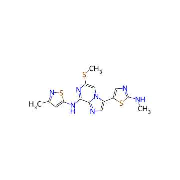 CNc1ncc(-c2cnc3c(Nc4cc(C)ns4)nc(SC)cn23)s1